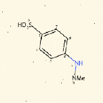 CNNc1ccc(S(=O)(=O)O)cc1